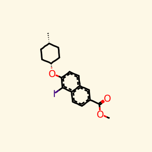 COC(=O)c1ccc2c(I)c(O[C@H]3CC[C@@H](C)CC3)ccc2c1